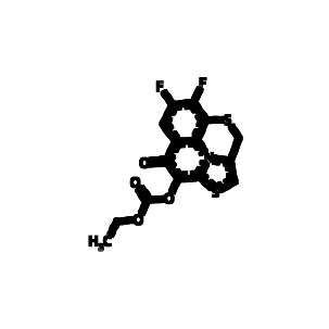 CCOC(=O)Oc1c(=O)c2cc(F)c(F)c3c2n2c(csc12)CS3